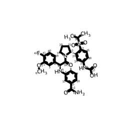 COc1cc([C@H](Nc2cccc(C(N)=O)c2)C(=O)N2CCC[C@@H]2c2cc(NC(=O)O)ccc2S(=O)(=O)C(C)C)ccc1F